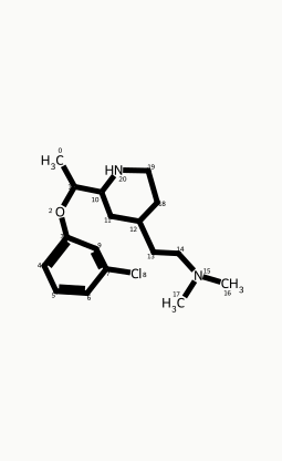 CC(Oc1cccc(Cl)c1)C1CC(CCN(C)C)CCN1